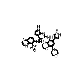 Cn1cc(-c2cc(N3CCOCC3)c3c(c2Nc2nc(Nc4ccc5nccnc5c4P(C)(C)=O)c4cc[nH]c4n2)OCCO3)cn1